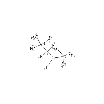 CCC(C)(C)C(F)C(F)(F)C(C)(CC)CC